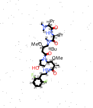 CC[C@H](C)C([C@@H](CC(=O)N1C[C@@H](O)C[C@H]1[C@H](OC)[C@@H](C)C(=O)NCCc1c(F)cccc1F)OC)N(C)C(=O)[C@@H](NC(=O)[C@H](C(C)C)N(C)C)C(C)C